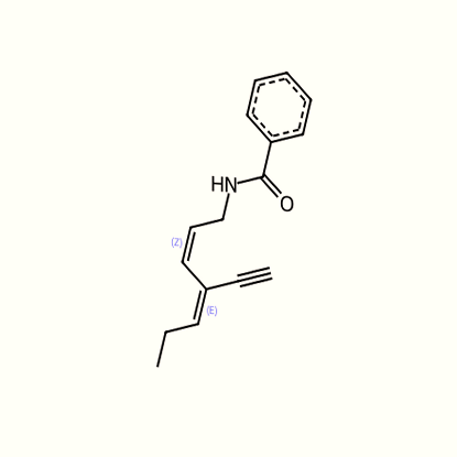 C#CC(/C=C\CNC(=O)c1ccccc1)=C/CC